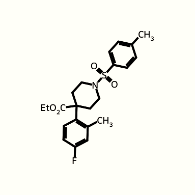 CCOC(=O)C1(c2ccc(F)cc2C)CCN(S(=O)(=O)c2ccc(C)cc2)CC1